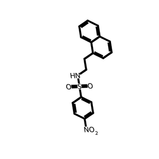 O=[N+]([O-])c1ccc(S(=O)(=O)NCCc2cccc3ccccc23)cc1